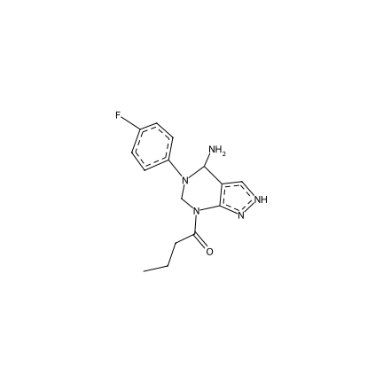 CCCC(=O)N1CN(c2ccc(F)cc2)C(N)c2c[nH]nc21